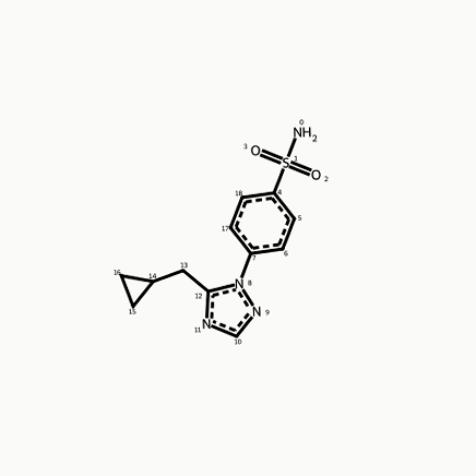 NS(=O)(=O)c1ccc(-n2ncnc2CC2CC2)cc1